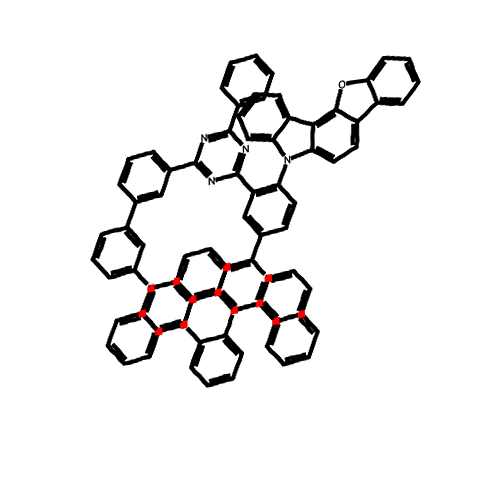 c1ccc(-c2cc(-c3ccccc3)nc(-c3ccc(-n4c5ccccc5c5c6oc7ccccc7c6ccc54)c(-c4nc(-c5ccccc5)nc(-c5cccc(-c6cccc(N7c8ccccc8B8c9ccccc9N(c9ccccc9)c9cccc7c98)c6)c5)n4)c3)n2)cc1